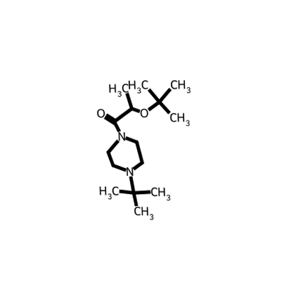 CC(OC(C)(C)C)C(=O)N1CCN(C(C)(C)C)CC1